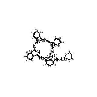 O=C([NH][Cu][CH]1CCCCC1)c1cccc2c3nc4nc(nc5[nH]c(nc6nc(nc([nH]3)c12)-c1ccccc1-6)c1ccccc51)-c1ccccc1-4